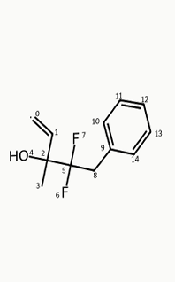 [CH]=CC(C)(O)C(F)(F)Cc1ccccc1